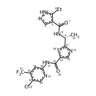 CCc1[nH]ncc1C(=O)N[C@H](C)c1ncc(C(=O)Nc2cc(C(F)(F)F)c(Cl)cn2)s1